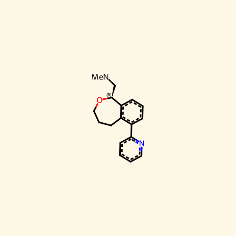 CNC[C@@H]1OCCCc2c(-c3ccccn3)cccc21